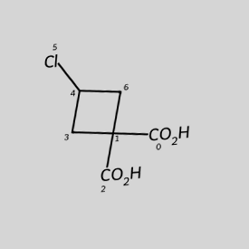 O=C(O)C1(C(=O)O)CC(Cl)C1